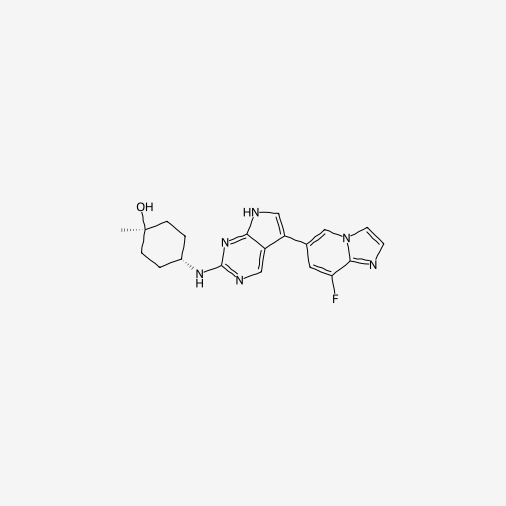 C[C@]1(O)CC[C@H](Nc2ncc3c(-c4cc(F)c5nccn5c4)c[nH]c3n2)CC1